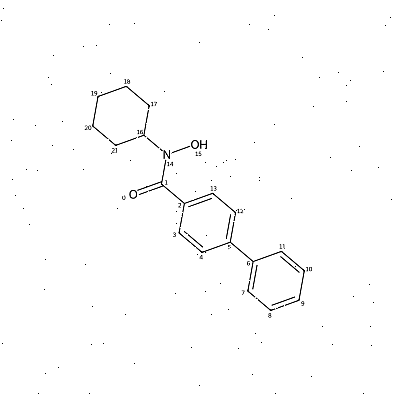 O=C(c1c[c]c(-c2ccccc2)cc1)N(O)C1CCCCC1